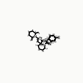 CC1CCCC(C)N1CCC1(C(N)=O)CCCCN1c1nc2cc(F)ccc2o1